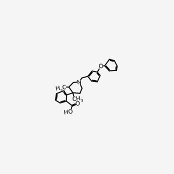 CC1CN(Cc2cccc(Oc3ccccc3)c2)CCC1(C)c1ccccc1C(=O)O